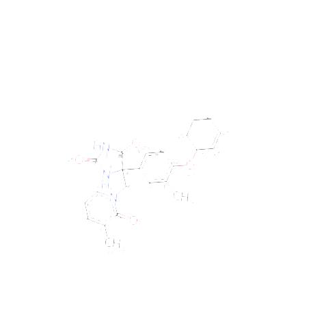 Cc1cc(C2(Cn3cccc(C)c3=O)NC(=O)NC2=O)ccc1OC1C=CCCC1